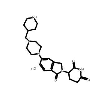 Cl.O=C1CCC(N2Cc3cc(N4CCN(CC5CCNCC5)CC4)ccc3C2=O)C(=O)N1